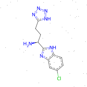 N[C@@H](CCc1nnn[nH]1)c1nc2cc(Cl)ccc2[nH]1